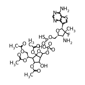 CC(=O)OC[C@H](OC(C)=O)C1C(OC(C)=O)C(O)C2C(OP(=O)(O)OP(=O)(S)OC[C@H]3O[C@@H](c4csc5c(N)ncnc45)[C@](C)(F)[C@@H]3N)OC21OC(C)=O